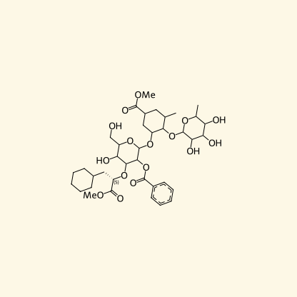 COC(=O)C1CC(C)C(OC2OC(C)C(O)C(O)C2O)C(OC2OC(CO)C(O)C(O[C@@H](CC3CCCCC3)C(=O)OC)C2OC(=O)c2ccccc2)C1